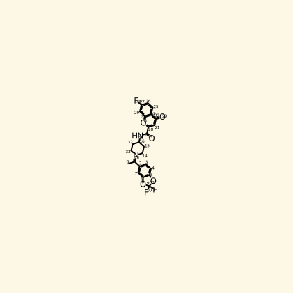 CC(c1ccc2c(c1)OC(F)(F)O2)N1CCC(NC(=O)c2cc(=O)c3ccc(F)cc3o2)CC1